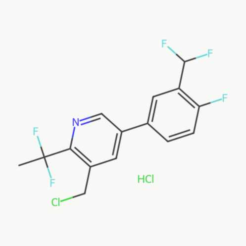 CC(F)(F)c1ncc(-c2ccc(F)c(C(F)F)c2)cc1CCl.Cl